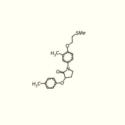 CSCCOc1ccc(N2CCC(Oc3ccc(C)cc3)C2=O)cc1C